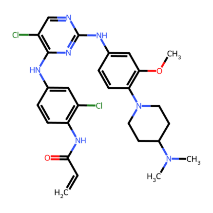 C=CC(=O)Nc1ccc(Nc2nc(Nc3ccc(N4CCC(N(C)C)CC4)c(OC)c3)ncc2Cl)cc1Cl